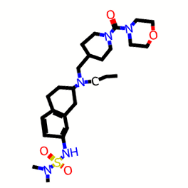 CCCN(CC1CCN(C(=O)N2CCOCC2)CC1)C1CCc2ccc(NS(=O)(=O)N(C)C)cc2C1